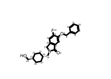 O=C1c2cc(OCc3ccccc3)c(F)cc2CN1C[C@H]1CC[C@H](CO)CC1